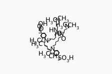 CN(C)CCCNC(=O)CCCCCN1/C(=C\C=C\C2=[N+](CCCCCC(=O)NCCCN(C)C)c3ccc(SOOO)cc3C2(C)C)C(C)(C)c2cc(S(=O)(=O)O)ccc21